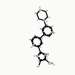 Cc1[nH]c(-c2cc(-c3cncc(N4CCOCC4)c3)ccn2)nc1I